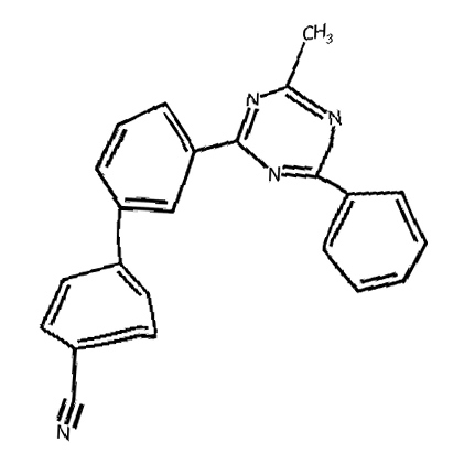 Cc1nc(-c2ccccc2)nc(-c2cccc(-c3ccc(C#N)cc3)c2)n1